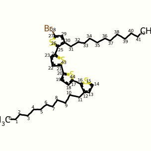 CCCCCCCCCCCCc1ccsc1-c1ccc(-c2ccc(-c3sc(Br)cc3CCCCCCCCCCCC)s2)s1